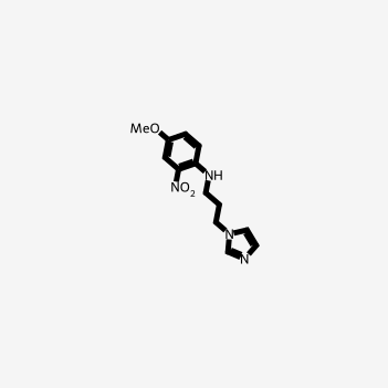 COc1ccc(NCCCn2ccnc2)c([N+](=O)[O-])c1